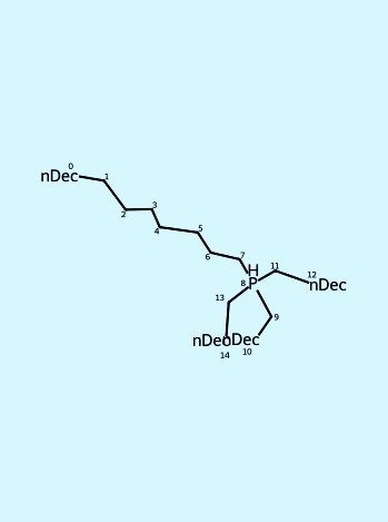 CCCCCCCCCCCCCCCCC[PH](CCCCCCCCCCC)(CCCCCCCCCCC)CCCCCCCCCCC